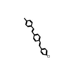 Cc1ccc(/C=C/c2ccc(/C=C/c3ccc(Cl)cc3)cc2)cc1